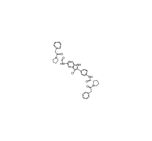 O=C(Nc1ccc(-c2[nH]c3cnc(NC(=O)[C@@H]4CCCN4C(=O)Cc4ccccc4)cc3c2Cl)cc1)[C@@H]1CCCN1C(=O)Cc1ccccc1